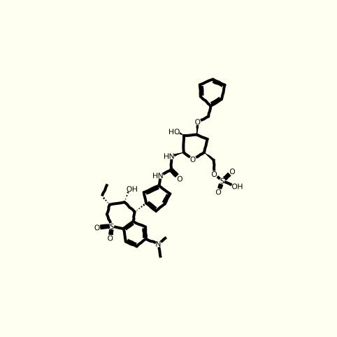 CC[C@H]1CS(=O)(=O)c2ccc(N(C)C)cc2[C@@H](c2cccc(NC(=O)N[C@@H]3O[C@H](COS(=O)(=O)O)C[C@H](OCc4ccccc4)[C@H]3O)c2)[C@H]1O